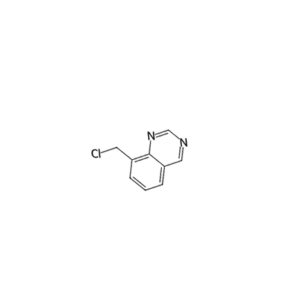 ClCc1cccc2cncnc12